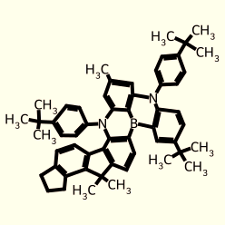 Cc1cc2c3c(c1)N(c1ccc(C(C)(C)C)cc1)c1c(ccc4c1-c1ccc5c(c1C4(C)C)CCC5)B3c1cc(C(C)(C)C)ccc1N2c1ccc(C(C)(C)C)cc1